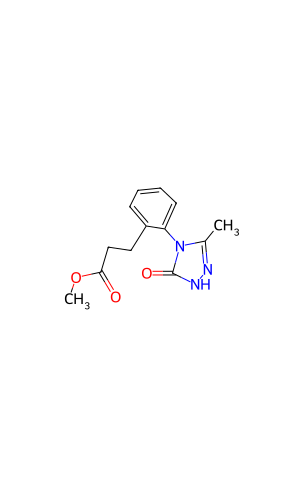 COC(=O)CCc1ccccc1-n1c(C)n[nH]c1=O